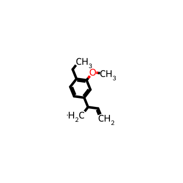 [CH2]C(C=C)c1ccc(CC)c(OC)c1